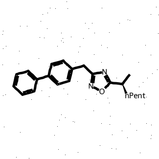 CCCCC[C@H](C)c1nc(Cc2ccc(-c3ccccc3)cc2)no1